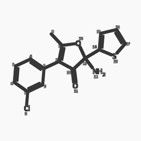 CC1=C(c2cccc(Cl)c2)C(=O)C(N)(c2cccs2)O1